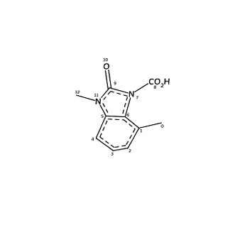 Cc1cccc2c1n(C(=O)O)c(=O)n2C